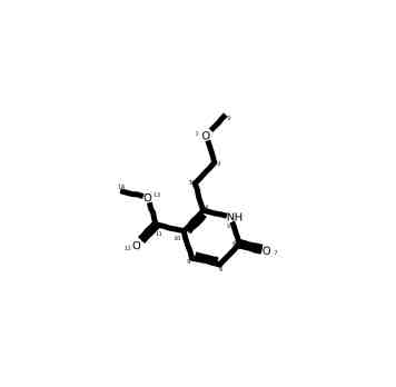 COCCc1[nH]c(=O)ccc1C(=O)OC